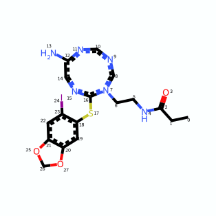 CCC(=O)NCCn1cncnc(N)cnc1Sc1cc2c(cc1I)OCO2